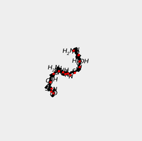 CN(CCOC(O)NCc1ccc(COc2nccc(N)n2)cc1)c1ccc(-c2ccc(/C=C(\C#N)c3nc4ccc(-c5nc6c(OCc7ccc(CNC(=O)OCCN8CCSc9cc(/C=C(\C#N)C(=O)OC(C)(C)C)ccc98)cc7)nc(N)nc6[nH]5)cc4s3)s2)s1